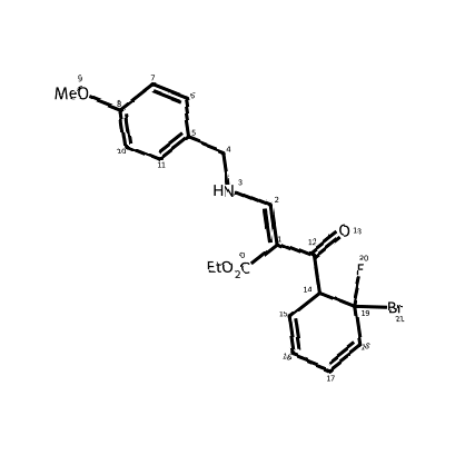 CCOC(=O)/C(=C\NCc1ccc(OC)cc1)C(=O)C1C=CC=CC1(F)Br